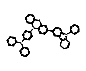 C1=Cc2c(c3cc(-c4ccc5c(c4)Sc4ccccc4N5c4ccc(N(c5ccccc5)c5ccccc5)cc4)ccc3n2-c2ccccc2)CC1